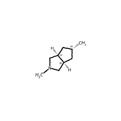 C[C@H]1C[C@@H]2CN(C)C[C@@H]2C1